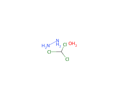 ClC(Cl)Cl.NN.O